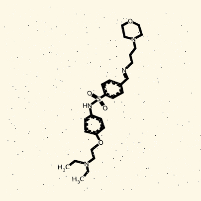 CCN(CC)CCOc1ccc(NS(=O)(=O)c2ccc(/C=N/CCCN3CCOCC3)cc2)cc1